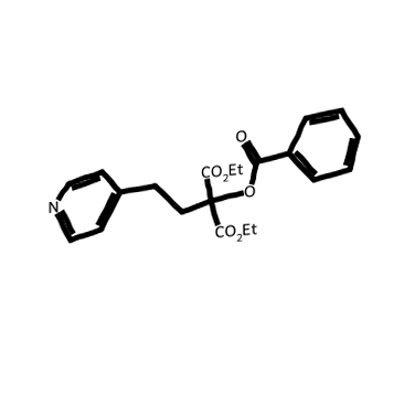 CCOC(=O)C(CCc1ccncc1)(OC(=O)c1ccccc1)C(=O)OCC